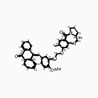 COc1ccc(C=C2c3ccccc3C(=O)c3ccccc32)cc1OCOc1cc2c(cc1C)C(=O)N1CCC[C@H]1C=N2